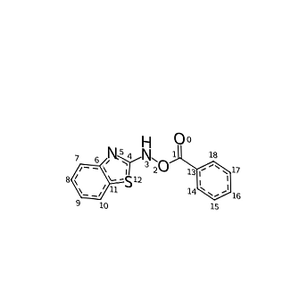 O=C(ONc1nc2ccccc2s1)c1ccccc1